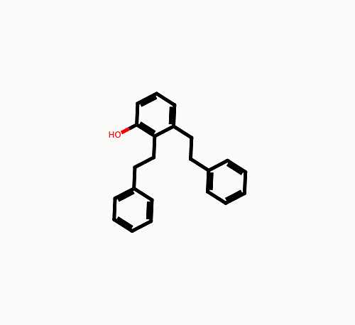 Oc1cccc(CCc2ccccc2)c1CCc1ccccc1